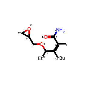 CCCCC(=C(C)C(N)=O)C(CC)OCC1CO1